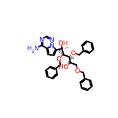 C[C@@](O)(c1ccc2c(N)ncnn12)[C@H](OCc1ccccc1)[C@H](OCc1ccccc1)[C@H](O)COCc1ccccc1